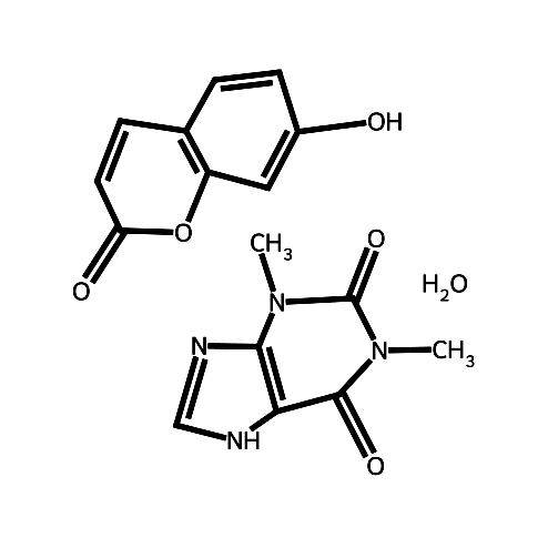 Cn1c(=O)c2[nH]cnc2n(C)c1=O.O.O=c1ccc2ccc(O)cc2o1